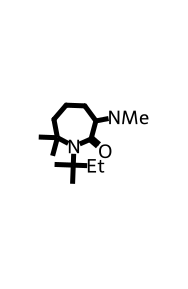 CCC(C)(C)N1C(=O)C(NC)CCCC1(C)C